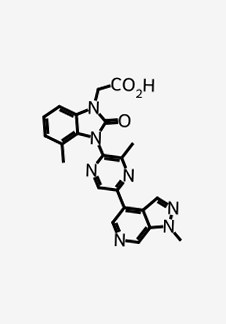 Cc1nc(-c2cncc3c2cnn3C)cnc1-n1c(=O)n(CC(=O)O)c2cccc(C)c21